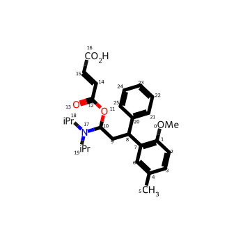 COc1ccc(C)cc1C(CC(OC(=O)/C=C/C(=O)O)N(C(C)C)C(C)C)c1ccccc1